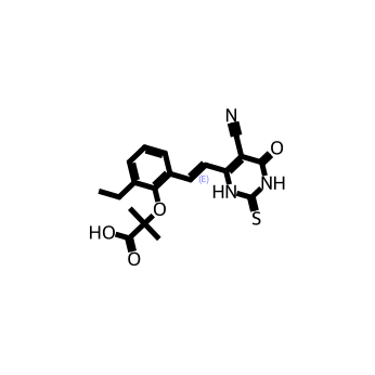 CCc1cccc(/C=C/c2[nH]c(=S)[nH]c(=O)c2C#N)c1OC(C)(C)C(=O)O